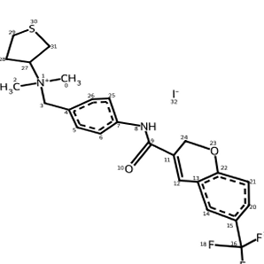 C[N+](C)(Cc1ccc(NC(=O)C2=Cc3cc(C(F)(F)F)ccc3OC2)cc1)C1CCSC1.[I-]